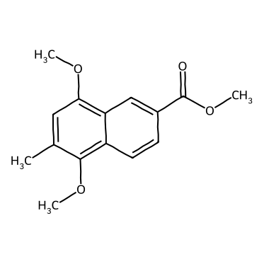 COC(=O)c1ccc2c(OC)c(C)cc(OC)c2c1